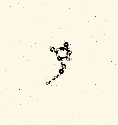 COCCOCCOCCOc1ccc(-c2nccc(COc3ccc4cc3C[C@H](C(=O)O)Oc3ncnc5sc(-c6ccc(F)cc6)c(c35)-c3ccc(c(Cl)c3C)O[C@H](CN3CCN(C)CC3)CO4)n2)cc1